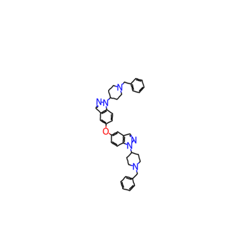 c1ccc(CN2CCC(n3ncc4cc(Oc5ccc6c(cnn6C6CCN(Cc7ccccc7)CC6)c5)ccc43)CC2)cc1